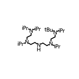 CC(C)N(CCNCCN(CCN(C(C)C)C(C)(C)C)C(C)C)CCN(C(C)C)C(C)C